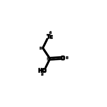 O=C(O)[CH2][Tc]